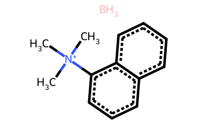 B.C[N+](C)(C)c1cccc2ccccc12